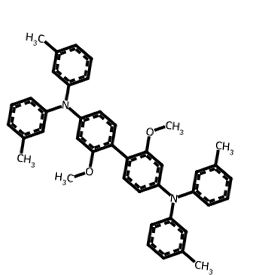 COc1cc(N(c2cccc(C)c2)c2cccc(C)c2)ccc1-c1ccc(N(c2cccc(C)c2)c2cccc(C)c2)cc1OC